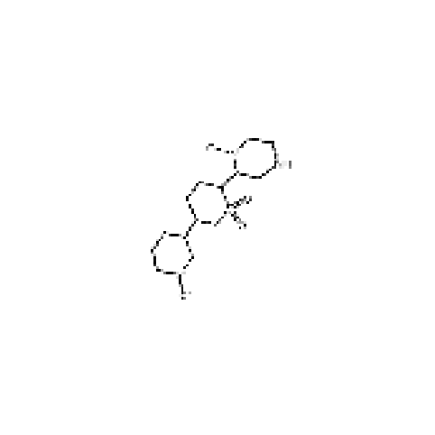 O=S1(=O)CC(C2CCC[S+]([O-])C2)CCC1C1CNCC[S+]1[O-]